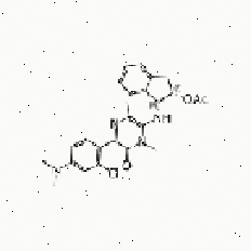 CC(=O)O[C@H]1Cc2ccccc2[C@H]1Nc1c(C)nc(-c2ccc(N(C)C)cc2Cl)c(=O)n1C